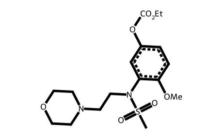 CCOC(=O)Oc1ccc(OC)c(N(CCN2CCOCC2)S(C)(=O)=O)c1